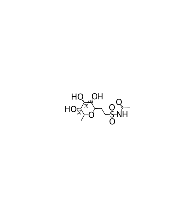 CC(=O)NS(=O)(=O)CCC1OC(C)[C@@H](O)[C@@H](O)[C@@H]1O